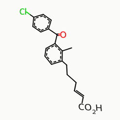 Cc1c(CCCC=CC(=O)O)cccc1C(=O)c1ccc(Cl)cc1